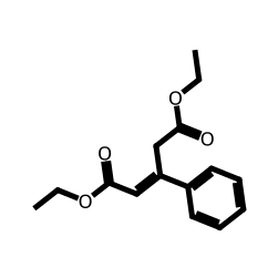 CCOC(=O)C=C(CC(=O)OCC)c1ccccc1